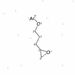 CC(=O)OCCCC1CO1